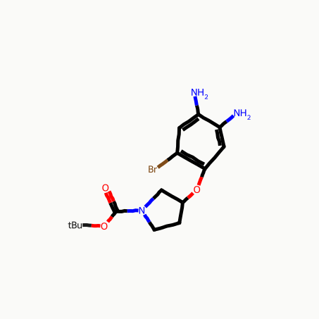 CC(C)(C)OC(=O)N1CCC(Oc2cc(N)c(N)cc2Br)C1